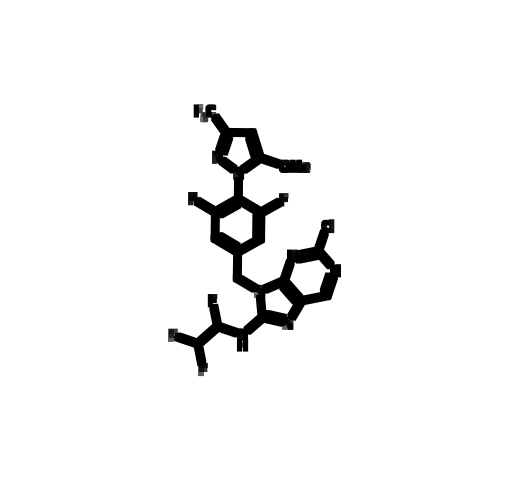 COc1cc(C(F)(F)F)nn1-c1c(F)cc(Cn2c(NC(F)C(F)F)nc3cnc(Cl)nc32)cc1F